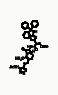 CO/N=C(\C(=O)N[C@@H]1C(=O)N2C(C(=O)O)=C(CSc3nnnn3NC(C)=O)CS[C@@H]12)c1csc(NC(c2ccccc2)(c2ccccc2)c2ccccc2)n1